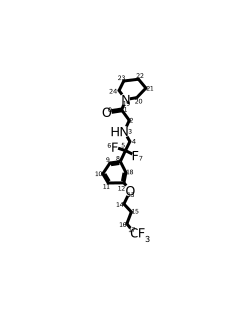 O=C(CNCC(F)(F)c1cccc(OCCCC(F)(F)F)c1)N1CCCCC1